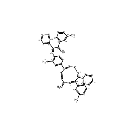 C=C1/C=C\C(c2ccc(/N=C(\C(=C)c3cccc(C#N)c3)c3ccccc3)c(N)c2)=C/C/N=C([C@H]2C=CC=CC2)\C(c2cccc(C#N)c2)=N/1